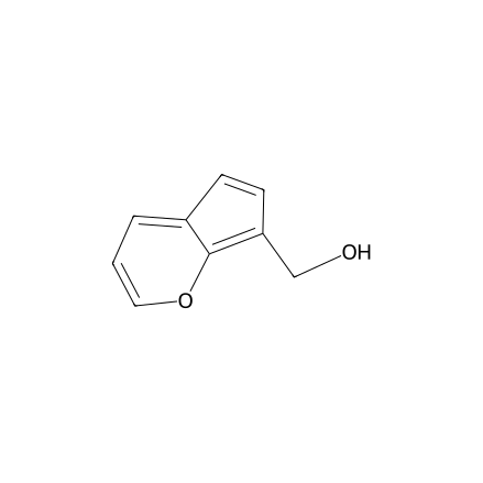 OCc1ccc2cccoc1-2